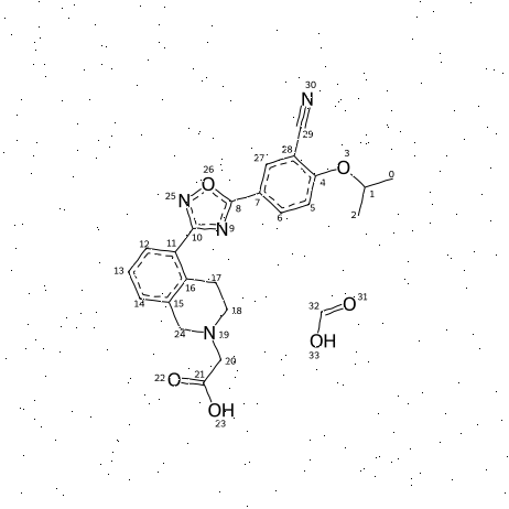 CC(C)Oc1ccc(-c2nc(-c3cccc4c3CCN(CC(=O)O)C4)no2)cc1C#N.O=CO